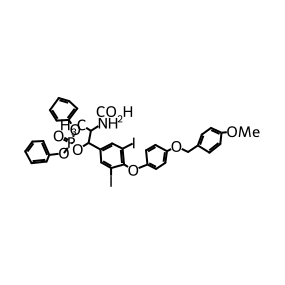 COc1ccc(COc2ccc(Oc3c(I)cc(C(OP(=O)(Oc4ccccc4)Oc4ccccc4)C(C)NC(=O)O)cc3I)cc2)cc1